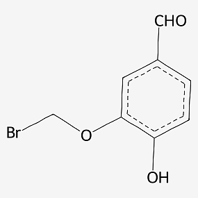 O=Cc1ccc(O)c(OCBr)c1